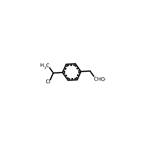 CC(Cl)c1ccc(C[C]=O)cc1